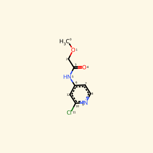 COCC(=O)Nc1ccnc(Cl)c1